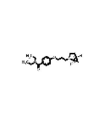 CCN(CC)C(=O)c1ccc(OCCCN2CC[C@H]3C[C@H]32)cc1